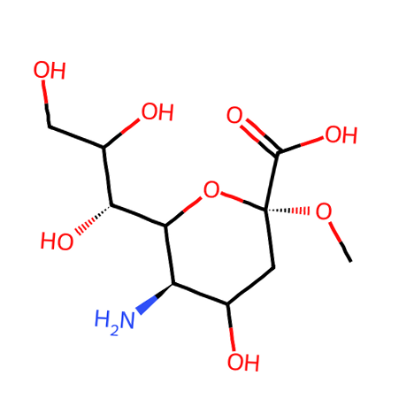 CO[C@]1(C(=O)O)CC(O)[C@@H](N)C([C@H](O)C(O)CO)O1